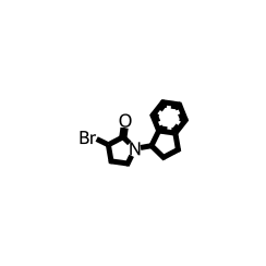 O=C1C(Br)CCN1C1CCc2ccccc21